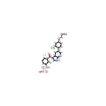 CCCS(=O)(=O)Nc1ccc(F)c(C(=O)c2c[nH]c3ncc(-c4ccc(OCOC)cc4Cl)cc23)c1F